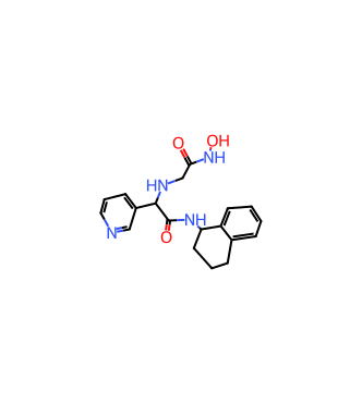 O=C(CNC(C(=O)NC1CCCc2ccccc21)c1cccnc1)NO